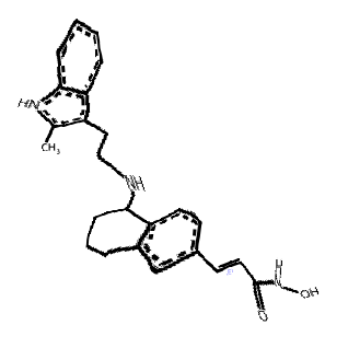 Cc1[nH]c2ccccc2c1CCNC1CCCc2cc(/C=C/C(=O)NO)ccc21